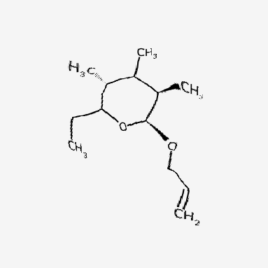 C=CCO[C@H]1OC(CC)[C@H](C)C(C)[C@H]1C